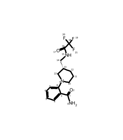 NC(=O)c1ccccc1N1CCC[C@@H](CNC(=O)C(F)(F)F)C1